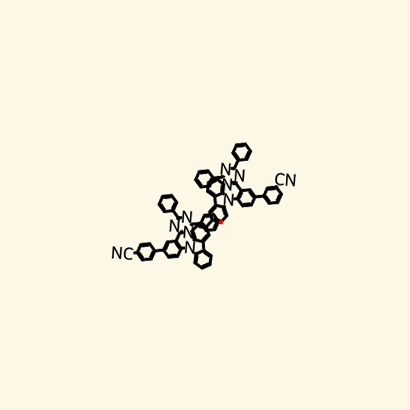 N#Cc1ccc(-c2ccc(-n3c4ccccc4c4cc(-c5ccc6c(c5)c5ccccc5n6-c5ccc(-c6cccc(C#N)c6)cc5-c5nc(-c6ccccc6)nc(-c6ccccc6)n5)ccc43)c(-c3nc(-c4ccccc4)nc(-c4ccccc4)n3)c2)cc1